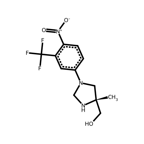 C[C@]1(CO)CN(c2ccc([N+](=O)[O-])c(C(F)(F)F)c2)CN1